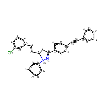 Clc1cccc(C=CC2CC(c3ccc(C#Cc4ccccc4)cc3)=NN2c2ccccc2)c1